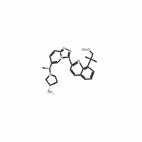 COCC(C)(C)c1cccc2ccc(-c3nnc4ccc([C@H](C)N5CC[C@H](N)C5)cn34)nc12